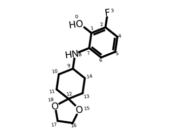 Oc1c(F)cccc1NC1CCC2(CC1)OCCO2